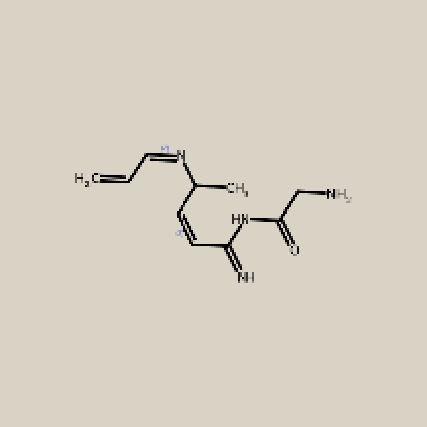 C=C/C=N\C(C)/C=C\C(=N)NC(=O)CN